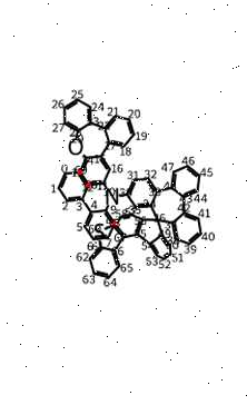 c1ccc(-c2ccccc2N(c2ccc3c(c2)-c2ccccc2-c2ccccc2O3)c2ccc3c(c2)C2(c4ccccc4-c4ccccc4-3)c3ccccc3-c3c2ccc2sc4ccccc4c32)cc1